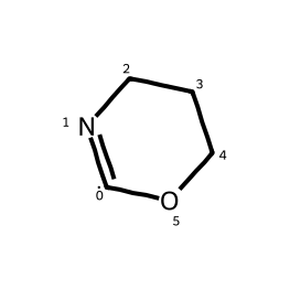 [C]1=NCCCO1